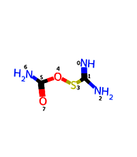 N=C(N)SOC(N)=O